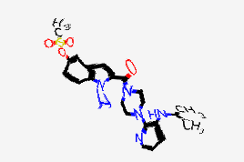 CC(C)Nc1cccnc1N1CCN(C(=O)c2cc3cc(OS(C)(=O)=O)ccc3[nH]2)CC1